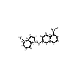 COc1cccc2cc(Cn3ccc4c(F)cccc43)ccc12